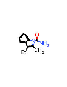 CCc1c(C)n(C(N)=O)c2cc[c]cc12